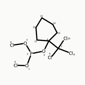 ClOP(OCl)OC1(C(Cl)(Cl)Cl)CCCCC1